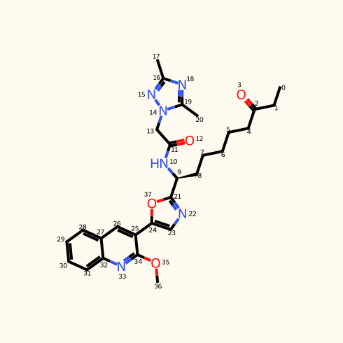 CCC(=O)CCCCC[C@H](NC(=O)Cn1nc(C)nc1C)c1ncc(-c2cc3ccccc3nc2OC)o1